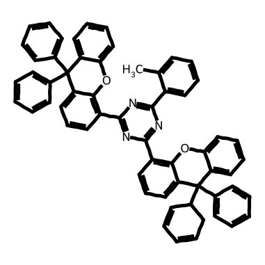 Cc1ccccc1-c1nc(-c2cccc3c2Oc2ccccc2C3(c2ccccc2)c2ccccc2)nc(-c2cccc3c2Oc2ccccc2C3(c2ccccc2)C2C=CC=CC2)n1